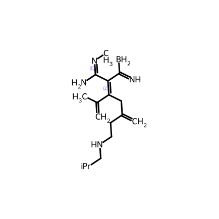 BC(=N)C(=C(\CC(=C)CCNCC(C)C)C(=C)C)/C(N)=N\C